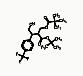 CC(C)(C)OC(=O)C(COC(=O)C(C)(C)C)C(CO)c1ccc(C(F)(F)F)cc1